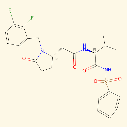 CC(C)[C@H](NC(=O)C[C@@H]1CCC(=O)N1Cc1cccc(F)c1F)C(=O)NS(=O)(=O)c1ccccc1